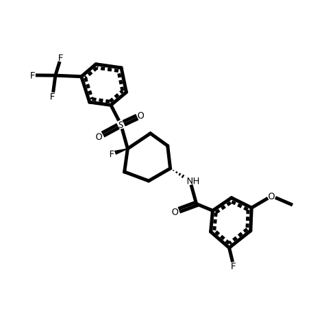 COc1cc(F)cc(C(=O)N[C@H]2CC[C@@](F)(S(=O)(=O)c3cccc(C(F)(F)F)c3)CC2)c1